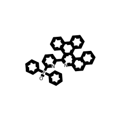 O=P(c1ccccc1)(c1ccccc1)c1cccc(-c2nc3ccc4ccccc4c3c3c4ccccc4c4ccccc4c23)n1